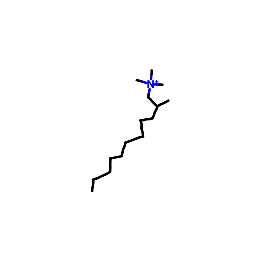 CCCCCCCCCC(C)C[N+](C)(C)C